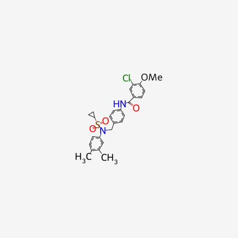 COc1ccc(C(=O)Nc2ccc(CN(c3ccc(C)c(C)c3)S(=O)(=O)C3CC3)cc2)cc1Cl